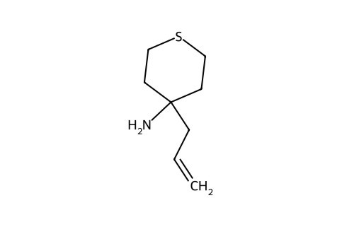 C=CCC1(N)CCSCC1